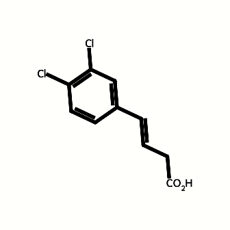 O=C(O)CC=Cc1ccc(Cl)c(Cl)c1